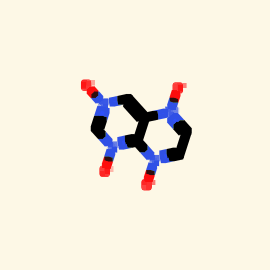 [O-][n+]1cc2c([n+]([O-])cc[n+]2[O-])[n+]([O-])c1